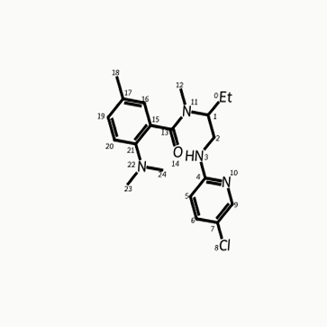 CCC(CNc1ccc(Cl)cn1)N(C)C(=O)c1cc(C)ccc1N(C)C